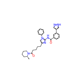 C[C@H]1CCCCN1C(=O)CCCCc1cn(-c2ccccc2)c(NC(=O)c2cccc(-c3cn[nH]c3)c2)n1